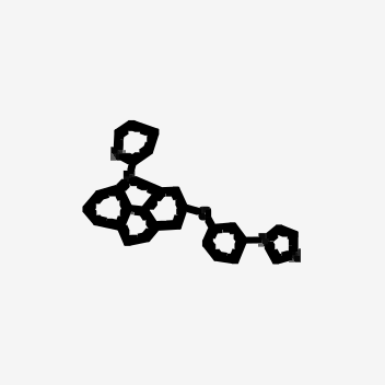 c1ccc(-n2c3cccc4ccc5cc(Oc6cccc(-n7ccnc7)c6)cc2c5c43)nc1